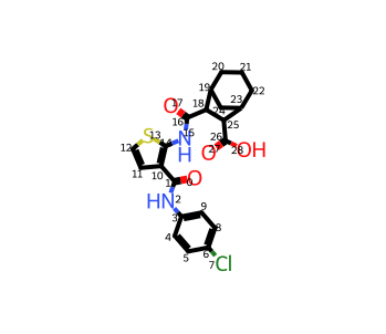 O=C(Nc1ccc(Cl)cc1)c1ccsc1NC(=O)C1C2CCCC(C2)C1C(=O)O